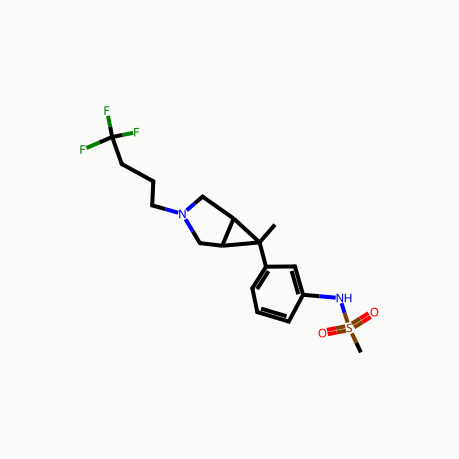 CC1(c2cccc(NS(C)(=O)=O)c2)C2CN(CCCC(F)(F)F)CC21